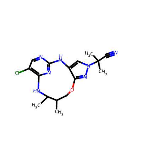 CC1COc2nn(C(C)(C)C#N)cc2Nc2ncc(Cl)c(n2)NC1C